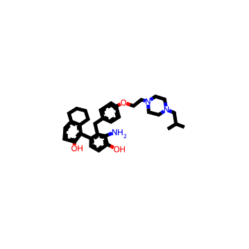 CC(C)CN1CCN(CCOc2ccc(Cc3c(-c4c(O)ccc5c4CCCC5)ccc(O)c3N)cc2)CC1